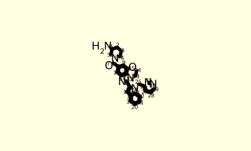 N[C@@H]1CCCN(C(=O)c2cc3c4c(c2)nc(-c2cc5ccccc5n2Cc2cccnn2)n4CCO3)C1